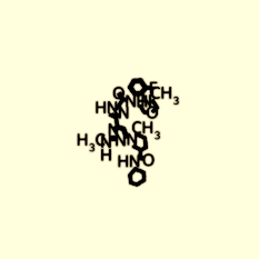 CNc1nc(-c2c[nH]c(C(=O)Nc3cccc(F)c3N3CCOC[C@H]3C)n2)cc(N2CC(C(=O)NC3CCCCC3)CCC2C)n1